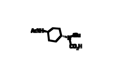 CC(=O)N[C@H]1CC[C@H](N(C(=O)O)C(C)(C)C)CC1